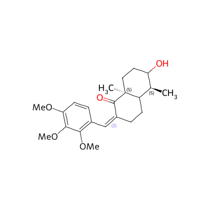 COc1ccc(/C=C2/CCC3[C@H](C)C(O)CC[C@]3(C)C2=O)c(OC)c1OC